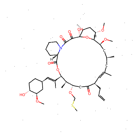 C=CC[C@@H]1/C=C(\C)C[C@H](C)C[C@H](OC)[C@H]2O[C@@](O)(C(=O)C(=O)N3CCCC[C@H]3C(=O)O[C@H](/C(C)=C/[C@@H]3CC[C@@H](O)[C@H](OC)C3)[C@H](C)[C@@H](OCSC)CC1=O)[C@H](C)C[C@@H]2OC